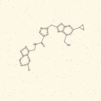 O=C(NCc1ncn2ccc(Cl)cc12)c1cnn(Cc2cn3cc(C4CC4)cc(CO)c3n2)c1